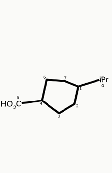 CC(C)C1CCC(C(=O)O)CC1